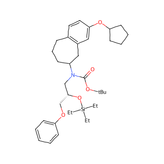 CC[Si](CC)(CC)O[C@H](COc1ccccc1)CN(C(=O)OC(C)(C)C)C1CCCc2ccc(OC3CCCC3)cc2C1